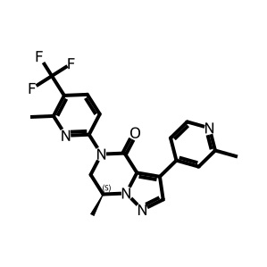 Cc1cc(-c2cnn3c2C(=O)N(c2ccc(C(F)(F)F)c(C)n2)C[C@@H]3C)ccn1